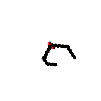 CCCCC/C=C\C/C=C\CCCCCCCCC(CCCCCCCC/C=C\CCCCCCC)(OC)OF